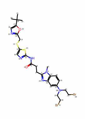 Cn1c(CCC(=O)Nc2ncc(SCc3ncc(C(C)(C)C)o3)s2)nc2cc(N(CCBr)CCBr)ccc21